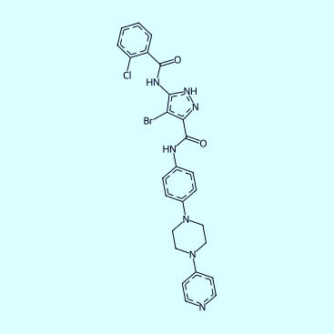 O=C(Nc1[nH]nc(C(=O)Nc2ccc(N3CCN(c4ccncc4)CC3)cc2)c1Br)c1ccccc1Cl